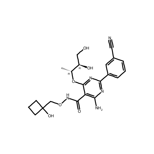 C[C@@H](Oc1nc(-c2cccc(C#N)c2)nc(N)c1C(=O)NOCC1(O)CCC1)[C@H](O)CO